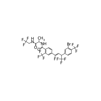 CC(NC(=O)c1ccc(/C(F)=C/C(c2ccc(C(F)(F)F)c(Br)c2)C(F)(F)F)cc1C(F)(F)F)C(=O)NCC(F)(F)F